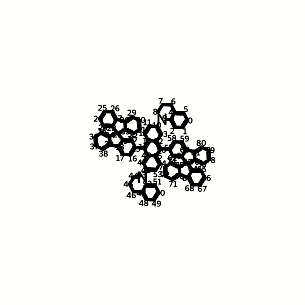 c1ccc2c(c1)CCCN2c1ccc2c(-c3ccc4c(c3)C3(c5ccccc5-c5ccccc53)c3ccccc3-4)c3cc(N4CCCc5ccccc54)ccc3c(-c3ccc4c(c3)C3(c5ccccc5-c5ccccc53)c3ccccc3-4)c2c1